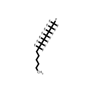 CCCCCCC(F)(F)C(F)(F)C(F)(F)C(F)(F)C(F)(F)C(F)(F)C(F)(F)F